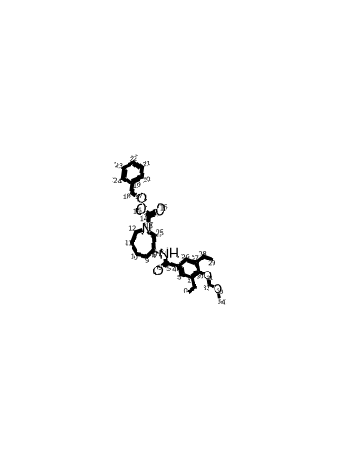 CCc1cc(C(=O)N[C@@H]2CCCCN(C(=O)OOCc3ccccc3)C2)cc(CC)c1OCOC